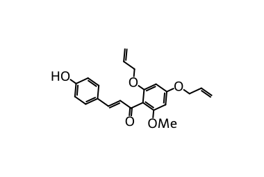 C=CCOc1cc(OC)c(C(=O)C=Cc2ccc(O)cc2)c(OCC=C)c1